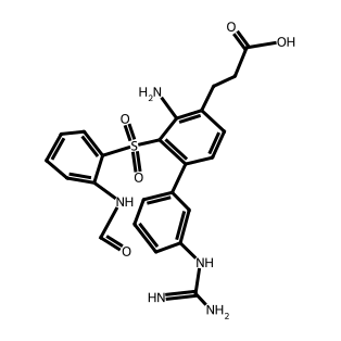 N=C(N)Nc1cccc(-c2ccc(CCC(=O)O)c(N)c2S(=O)(=O)c2ccccc2NC=O)c1